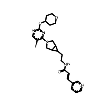 O=C(/C=C/c1cccnc1)NCCC1C2CN(c3nc(OC4CCOCC4)ncc3F)CC12